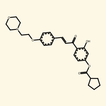 O=C(/C=C/c1ccc(OCCN2CCOCC2)cc1)c1ccc(OC(=O)C2CCCC2)cc1O